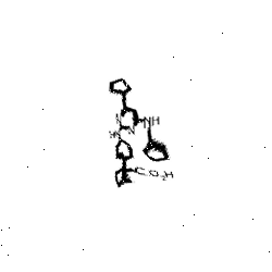 O=C(O)C1(c2ccc(Nc3nc(NC4CCCC4)cc(C4CCCC4)n3)cc2)CCC1